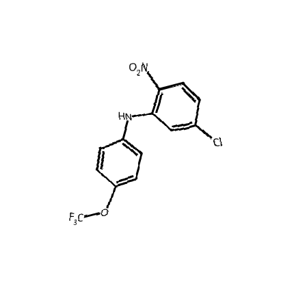 O=[N+]([O-])c1ccc(Cl)cc1Nc1ccc(OC(F)(F)F)cc1